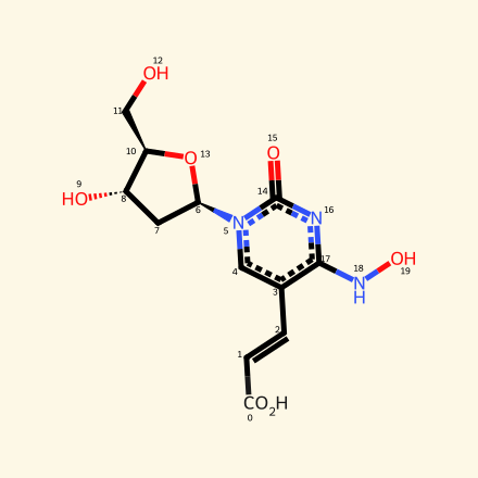 O=C(O)/C=C/c1cn([C@H]2C[C@H](O)[C@@H](CO)O2)c(=O)nc1NO